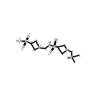 C[Si](C)(C)CN1CC(S(=O)(=O)NCN2CC(S(N)(=O)=O)C2)C1